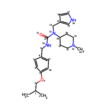 CC(C)COc1ccc(CNC(=O)N(Cc2cc[nH]c2)C2CCN(C)CC2)cc1